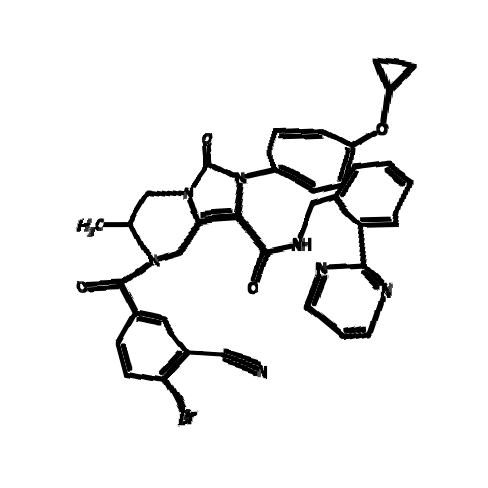 CC1Cn2c(c(C(=O)NCc3ccccc3-c3ncccn3)n(-c3ccc(OC4CC4)cc3)c2=O)CN1C(=O)c1ccc(Br)c(C#N)c1